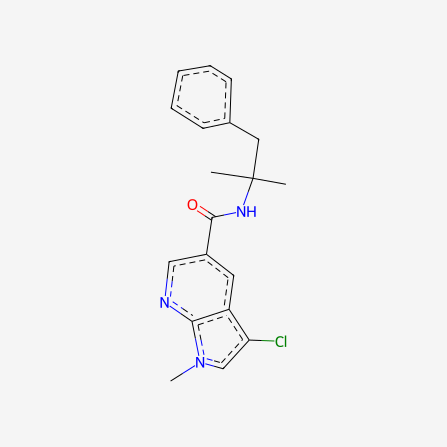 Cn1cc(Cl)c2cc(C(=O)NC(C)(C)Cc3ccccc3)cnc21